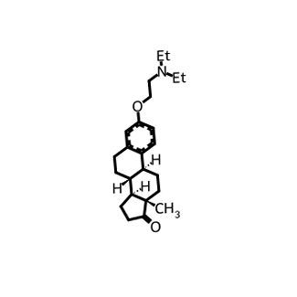 CCN(CC)CCOc1ccc2c(c1)CC[C@@H]1[C@@H]2CC[C@]2(C)C(=O)CC[C@@H]12